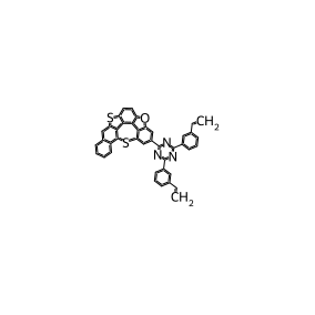 C=Cc1cccc(-c2nc(-c3cccc(C=C)c3)nc(-c3cc4oc5ccc6sc7cc8ccccc8c8sc(c3)c4c5c6c78)n2)c1